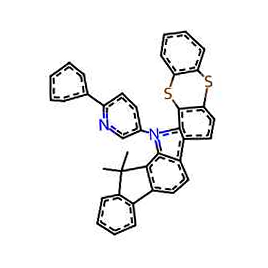 CC1(C)c2ccccc2-c2ccc3c4ccc5c(c4n(-c4ccc(-c6ccccc6)nc4)c3c21)Sc1ccccc1S5